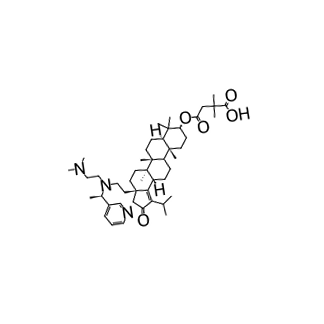 CC(C)C1=C2[C@H]3CCC4[C@@]5(C)CC[C@H](OC(=O)CC(C)(C)C(=O)O)C(C)(C)[C@@H]5CC[C@@]4(C)[C@]3(C)CC[C@@]2(CCN(CCN(C)C)[C@H](C)c2cccnc2)CC1=O